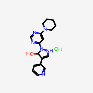 Cl.OC1C(c2cccnc2)=CNN1c1cc(N2CCCCC2)ncn1